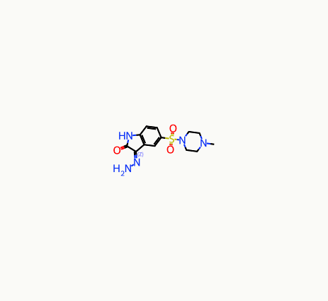 CN1CCN(S(=O)(=O)c2ccc3c(c2)/C(=N/N)C(=O)N3)CC1